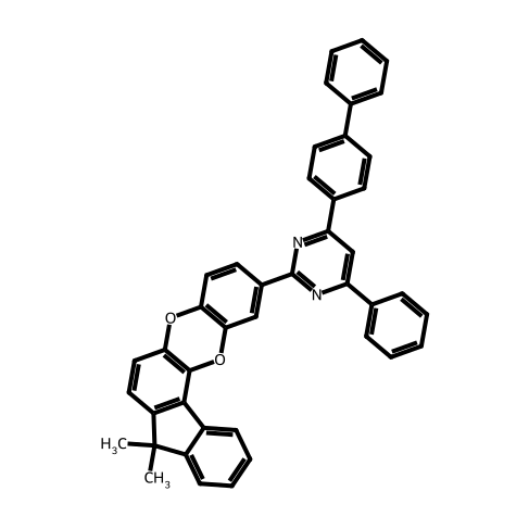 CC1(C)c2ccccc2-c2c1ccc1c2Oc2cc(-c3nc(-c4ccccc4)cc(-c4ccc(-c5ccccc5)cc4)n3)ccc2O1